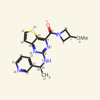 COC1CN(C(=O)c2nc(N[C@@H](C)c3cccnc3)nc3ccsc23)C1